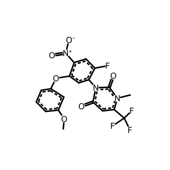 COc1cccc(Oc2cc(-n3c(=O)cc(C(F)(F)F)n(C)c3=O)c(F)cc2[N+](=O)[O-])c1